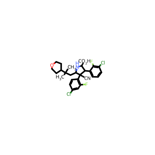 CC(C)(CC1NC(C(=O)O)C(c2cccc(Cl)c2F)C1(C#N)c1ccc(Cl)cc1F)C1CCOCC1